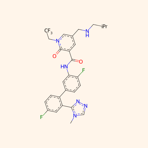 CC(C)CNCc1cc(C(=O)Nc2cc(-c3ccc(F)cc3-c3nncn3C)ccc2F)c(=O)n(CC(F)(F)F)c1